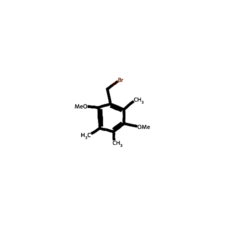 COc1c(C)c(C)c(OC)c(CBr)c1C